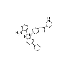 Nc1ncccc1-c1nc2ccc(-c3ccccc3)nc2n1-c1ccc(CNC2C=CCNC2)cc1